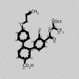 C=CCOc1ccc(-c2ccc(C(=O)O)cc2-c2ccc(C(=O)OC(CCCCCCCC)C(F)(F)F)c(F)c2)cc1